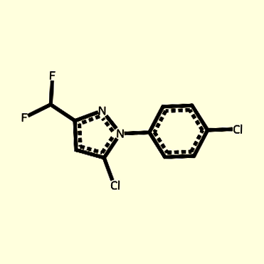 FC(F)c1cc(Cl)n(-c2ccc(Cl)cc2)n1